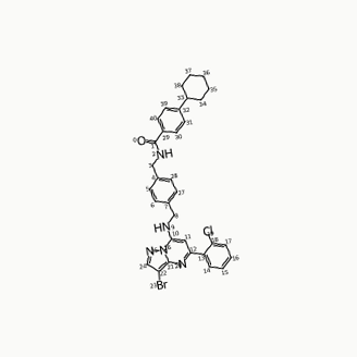 O=C(NCc1ccc(CNc2cc(-c3ccccc3Cl)nc3c(Br)cnn23)cc1)c1ccc(C2CCCCC2)cc1